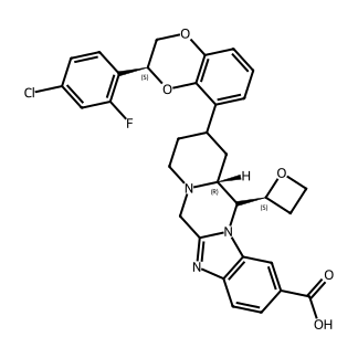 O=C(O)c1ccc2nc3n(c2c1)C([C@@H]1CCO1)[C@H]1CC(c2cccc4c2O[C@@H](c2ccc(Cl)cc2F)CO4)CCN1C3